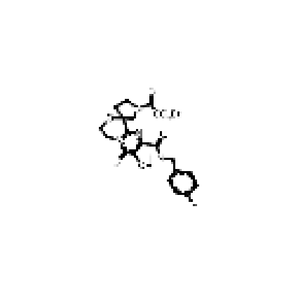 CCOC(=O)C(=O)N1CCC2(C1)OCCn1c2nc(C(=O)NCc2ccc(F)cc2)c(O)c1=O